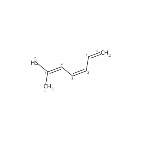 C=C/C=C\C=C(/C)S